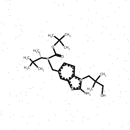 C[C@H](N(Cc1ccc2c(c1)nc(N)n2CC(C)(C)CO)C(=O)OC(C)(C)C)C(C)(C)C